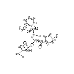 N#CC1(NC(=O)O[C@H]2C[C@@H](S(=O)(=O)c3ccccc3C(F)(F)F)CN2C(=O)c2ccc(F)cc2)CC1